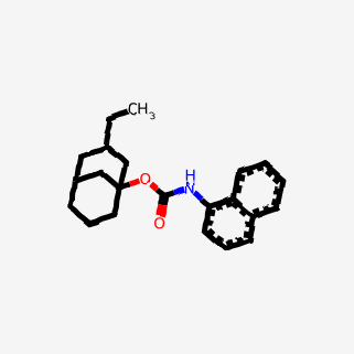 CCC1CC2CCCC(OC(=O)Nc3cccc4ccccc34)(C1)C2